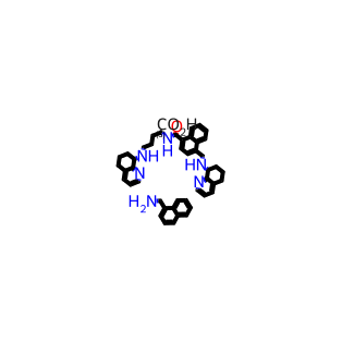 NCc1cccc2ccccc12.O=C(N[C@@H](CCCNC1CCCc2cccnc21)C(=O)O)c1ccc(CNC2CCCc3cccnc32)c2ccccc12